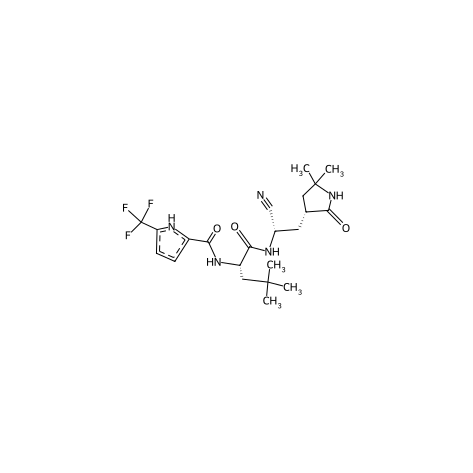 CC(C)(C)C[C@H](NC(=O)c1ccc(C(F)(F)F)[nH]1)C(=O)N[C@H](C#N)C[C@@H]1CC(C)(C)NC1=O